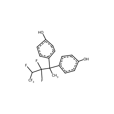 CC(c1ccc(O)cc1)(c1ccc(O)cc1)C(F)(F)C(F)C(F)(F)F